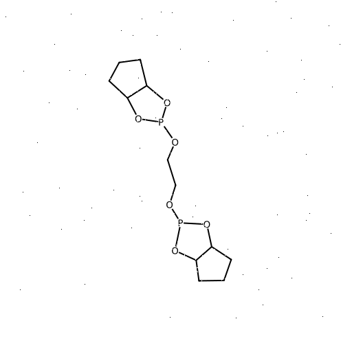 C1CC2OP(OCCOP3OC4CCCC4O3)OC2C1